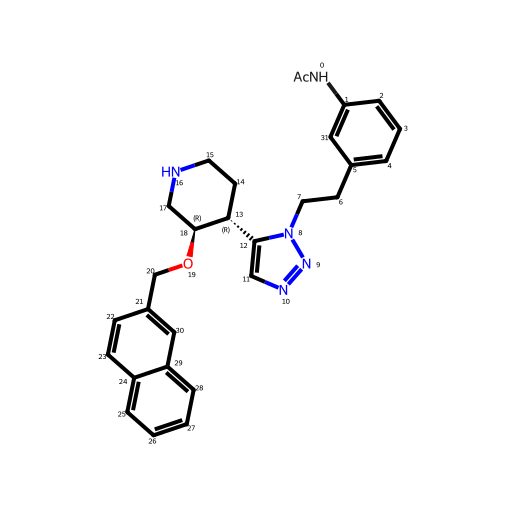 CC(=O)Nc1cccc(CCn2nncc2[C@H]2CCNC[C@@H]2OCc2ccc3ccccc3c2)c1